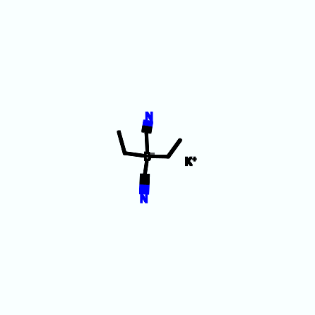 CC[B-](C#N)(C#N)CC.[K+]